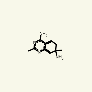 Cc1nc(N)c2c(n1)=CC(C)(N)CC=2